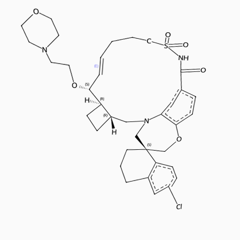 O=C1NS(=O)(=O)CCC/C=C/[C@@H](OCCN2CCOCC2)[C@@H]2CC[C@H]2CN2C[C@@]3(CCCc4cc(Cl)ccc43)COc3ccc1cc32